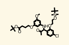 COc1cc(NC(C(C)=O)c2ccc(Cl)cc2OCCO[Si](C)(C)C(C)(C)C)cc(OCCCC(=O)OC(C)(C)C)c1